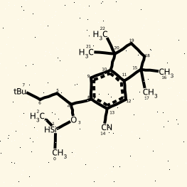 C[SiH](C)OC(CCC(C)(C)C)c1cc2c(cc1C#N)C(C)(C)CCC2(C)C